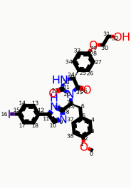 COc1ccc(C[C@@H](c2ncc(-c3ccc(I)cc3)[nH]2)N2C(=O)N[C@H](c3ccc(OCCO)cc3)C2=O)cc1